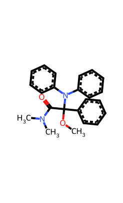 COC(C(=O)N(C)C)(c1ccccc1)N(c1ccccc1)c1ccccc1